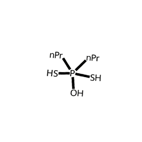 CCCP(O)(S)(S)CCC